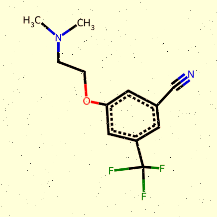 CN(C)CCOc1cc(C#N)cc(C(F)(F)F)c1